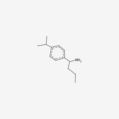 CCCC(N)c1ccc(C(C)C)cc1